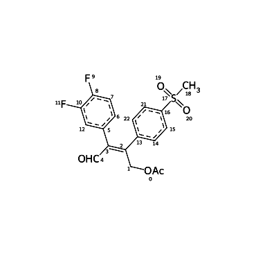 CC(=O)OCC(=C(C=O)c1ccc(F)c(F)c1)c1ccc(S(C)(=O)=O)cc1